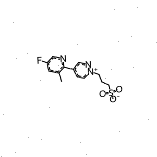 Cc1cc(F)cnc1-c1cc[n+](CCCS(=O)(=O)[O-])nc1